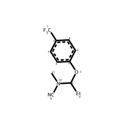 CCC(Oc1ccc(C(F)(F)F)cc1)N(C)C#N